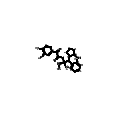 CCNC(CC(=O)C(=O)c1ccc(F)c(F)c1)(C(=O)O)C1c2ccccc2NC2CCCC21